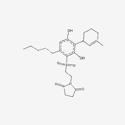 CCCCCc1cc(O)c(C2C=C(C)CCC2)c(O)c1S(=O)(=O)CCN1C(=O)CCC1=O